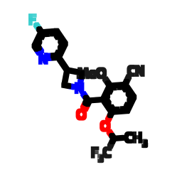 COc1c(C#N)ccc(OC(C)C(F)(F)F)c1C(=O)N1CC(c2ccc(F)cn2)C1